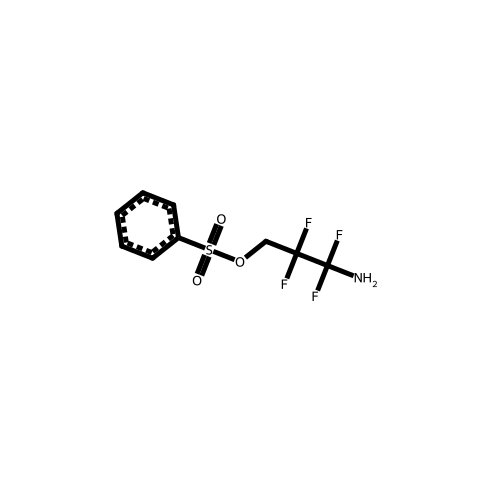 NC(F)(F)C(F)(F)COS(=O)(=O)c1ccccc1